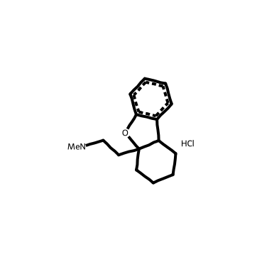 CNCCC12CCCCC1c1ccccc1O2.Cl